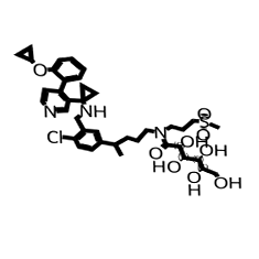 CC(CCCN(CCCS(C)(=O)=O)C(=O)[C@@H](O)[C@@H](O)[C@H](O)[C@@H](O)CO)c1ccc(Cl)c(CNC2(c3cnccc3-c3ccccc3OC3CC3)CC2)c1